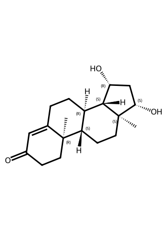 C[C@]12CC[C@H]3[C@@H](CCC4=CC(=O)CC[C@@]43C)[C@@H]1[C@H](O)C[C@@H]2O